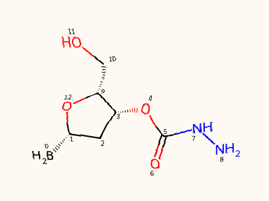 B[C@H]1C[C@@H](OC(=O)NN)[C@@H](CO)O1